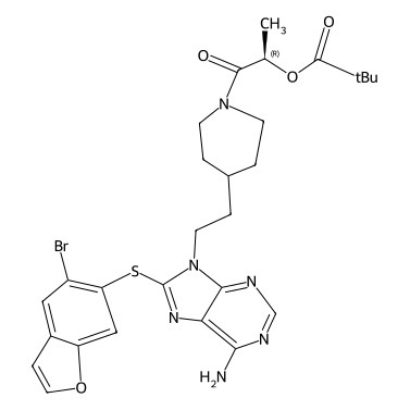 C[C@@H](OC(=O)C(C)(C)C)C(=O)N1CCC(CCn2c(Sc3cc4occc4cc3Br)nc3c(N)ncnc32)CC1